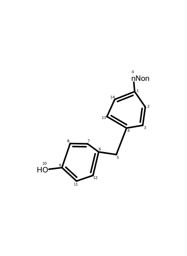 CCCCCCCCCc1ccc(Cc2ccc(O)cc2)cc1